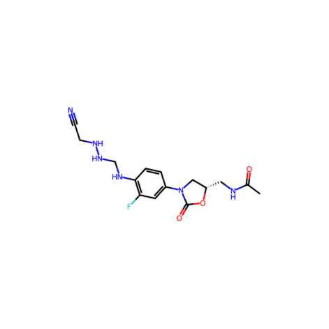 CC(=O)NC[C@H]1CN(c2ccc(NCNNCC#N)c(F)c2)C(=O)O1